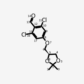 CC1(C)OC[C@H](COc2cc(Cl)c(C=O)c(Cl)c2)O1